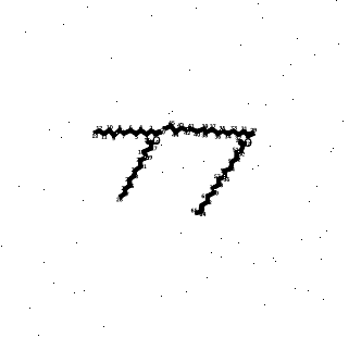 C=C(CCCCCCCCCCCC)OC(=C)CCCCCCCCCCCC.C=C(CCCCCCCCCCCCCCCC)OC(=C)CCCCCCCCCCCCCCCC